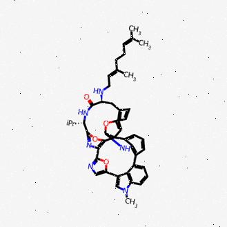 CC(C)=CCC/C(C)=C/CN[C@H]1Cc2ccc3c(c2)C24c5cccc(c5NC2O3)-c2cccc3c2c(cn3C)-c2cnc(o2)-c2nc(oc24)[C@H](C(C)C)NC1=O